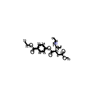 C/C=N/N(C)C(CC(=O)OC)C(=O)Oc1ccc(C(=O)OCC)cc1